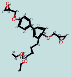 CCO[SiH](CCCc1cc(-c2ccc(OCC3CO3)cc2)ccc1OCC1CO1)OCC